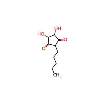 CCCCCC1C(=O)C(O)C(O)C1=O